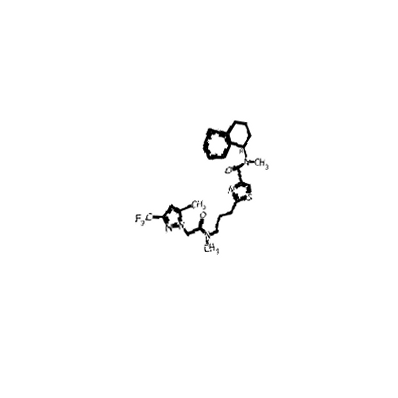 Cc1cc(C(F)(F)F)nn1CC(=O)N(C)CCCc1nc(C(=O)N(C)[C@@H]2CCCc3ccccc32)cs1